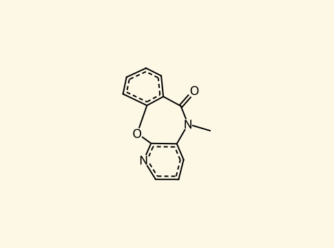 CN1C(=O)c2ccccc2Oc2ncccc21